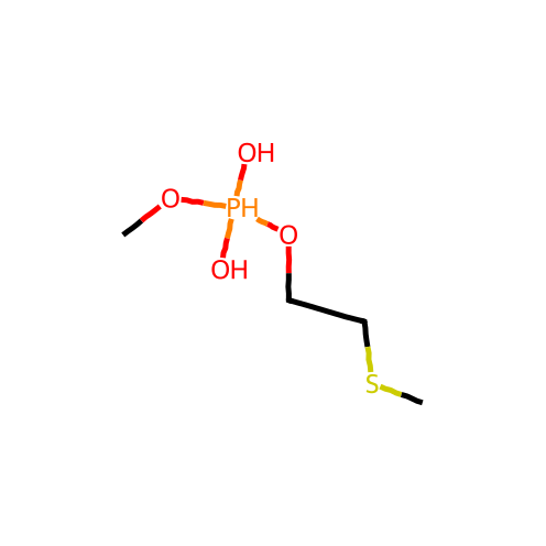 CO[PH](O)(O)OCCSC